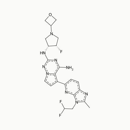 Cc1nc2ccc(-c3ccn4nc(N[C@@H]5CN(C6COC6)C[C@@H]5F)nc(N)c34)nc2n1CC(F)F